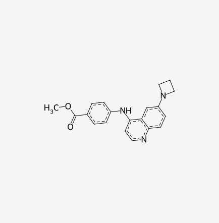 COC(=O)c1ccc(Nc2ccnc3ccc(N4CCC4)cc23)cc1